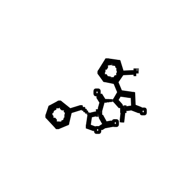 CN1C(=O)C=C(c2ccccc2F)[C@H]1C(=O)N1C(=O)OC[C@@H]1Cc1ccccc1